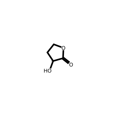 O=C1OCC[C]1O